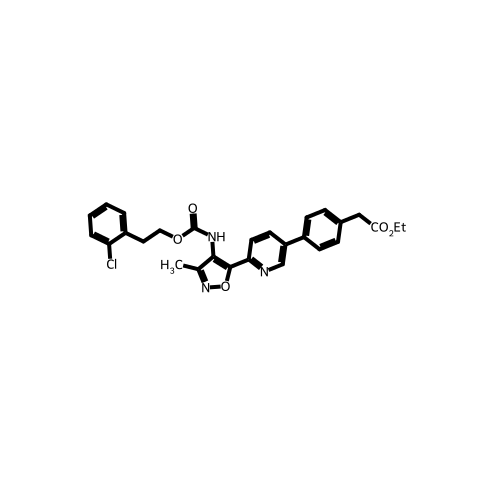 CCOC(=O)Cc1ccc(-c2ccc(-c3onc(C)c3NC(=O)OCCc3ccccc3Cl)nc2)cc1